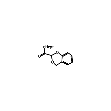 CCCCCCCC(=O)C1OCc2ccccc2O1